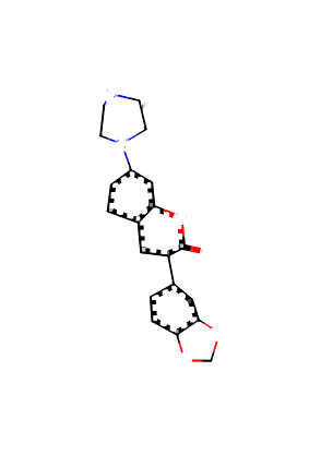 C[C@@H]1CN(c2ccc3cc(-c4ccc5c(c4)OCO5)c(=O)oc3c2)CCN1